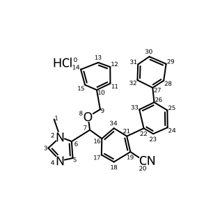 Cl.Cn1cncc1C(OCc1ccccc1)c1ccc(C#N)c(-c2cccc(-c3ccccc3)c2)c1